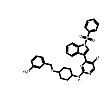 Nc1cccc(COC2CCC(Nc3ncc(Cl)c(-c4cn(S(=O)(=O)c5ccccc5)c5ccccc45)n3)CC2)c1